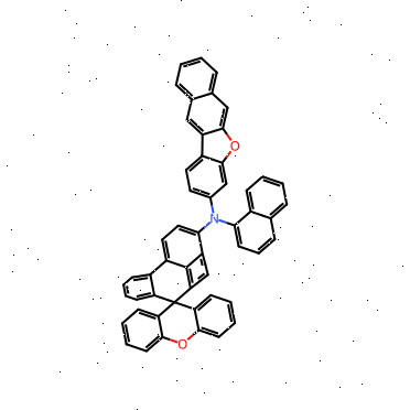 c1ccc2c(c1)Oc1ccccc1C21c2ccccc2-c2ccc(N(c3ccc4c(c3)oc3cc5ccccc5cc34)c3cccc4ccccc34)c3cccc1c23